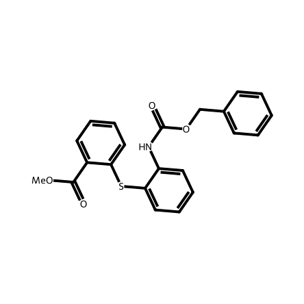 COC(=O)c1ccccc1Sc1ccccc1NC(=O)OCc1ccccc1